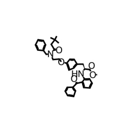 COC(=O)[C@H](Cc1ccc(OCCN(Cc2ccccc2)C(=O)CC(C)(C)C)cc1)Nc1ccccc1C(=O)c1ccccc1